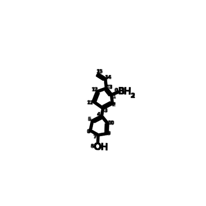 Bc1cc(C2=CCC(O)C=C2)ccc1C=C